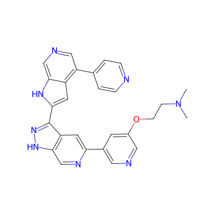 CN(C)CCOc1cncc(-c2cc3c(-c4cc5c(-c6ccncc6)cncc5[nH]4)n[nH]c3cn2)c1